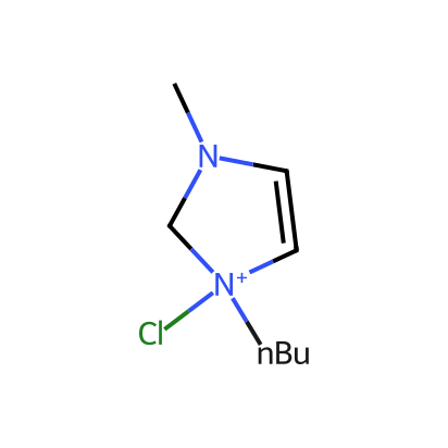 CCCC[N+]1(Cl)C=CN(C)C1